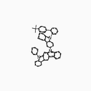 CC(C)(C)c1ccc(-c2ccccc2-n2c3ccccc3c3cc(-n4c5ccccc5c5cc6c7ccccc7n(-c7ccccc7)c6cc54)ccc32)cc1